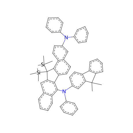 CC1(C)c2ccccc2-c2ccc(N(c3ccccc3)c3c4c(cc5ccccc35)C([Si](C)(C)C)([Si](C)(C)C)c3c-4ccc4cc(N(c5ccccc5)c5ccccc5)ccc34)cc21